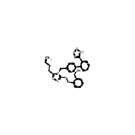 CCCCc1nnc(SCc2ccccc2CO)n1Cc1ccc(-c2ccccc2-c2nnn[nH]2)cc1